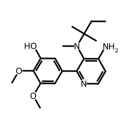 CCC(C)(C)N(C)c1c(N)ccnc1-c1cc(O)c(OC)c(OC)c1